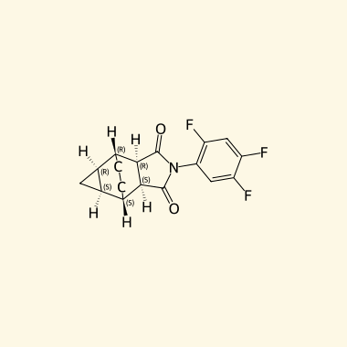 O=C1[C@@H]2[C@@H]3CC[C@@H]([C@H]4C[C@H]43)[C@@H]2C(=O)N1c1cc(F)c(F)cc1F